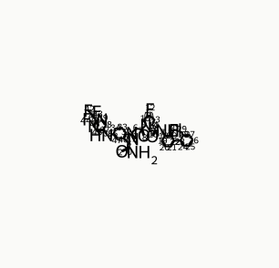 NC(=O)c1nn(CC(=O)N2C[C@H](F)C[C@H]2C(=O)Nc2cccc(-c3ccccc3Cl)c2F)c2ccc(Nc3cnc(C(F)(F)F)nc3)cc12